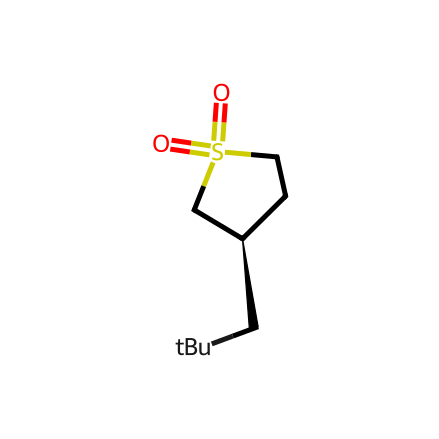 CC(C)(C)C[C@@H]1CCS(=O)(=O)C1